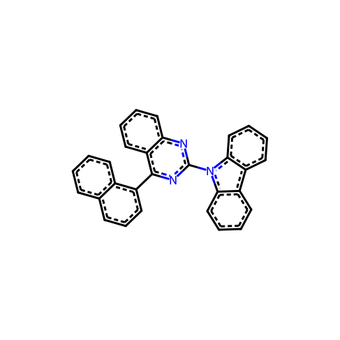 c1ccc2c(-c3nc(-n4c5ccccc5c5ccccc54)nc4ccccc34)cccc2c1